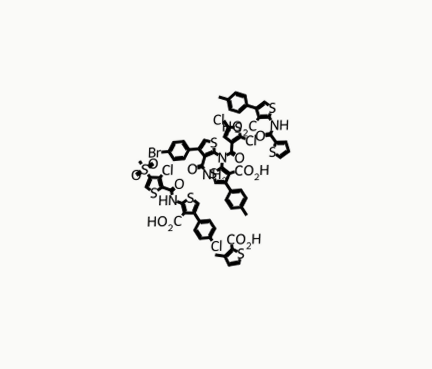 CS(=O)(=O)c1csc(C(=O)Nc2scc(-c3ccc(Cl)cc3)c2C(=O)O)c1Cl.Cc1ccc(-c2csc(N(C(=O)c3cc(Cl)sc3Cl)c3scc(-c4ccc(Br)cc4)c3C(N)=O)c2C(=O)O)cc1.Cc1ccc(-c2csc(NC(=O)c3cccs3)c2C(=O)O)cc1.Cc1ccsc1C(=O)O